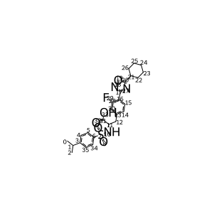 CC(C)c1ccc(S(=O)(=O)NC(Cc2ccc(-c3noc(C4CCCCC4)n3)c(F)c2)C(=O)O)cc1